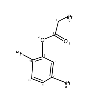 CC(C)CC(=O)Oc1cc(C(C)C)ccc1F